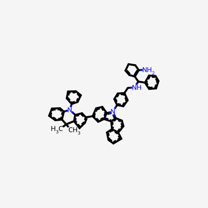 CC1(C)c2ccccc2N(c2ccccc2)c2cc(-c3ccc4c(c3)c3c5ccccc5ccc3n4-c3ccc(CNC(C4=C(N)CCC=C4)c4ccccc4)cc3)ccc21